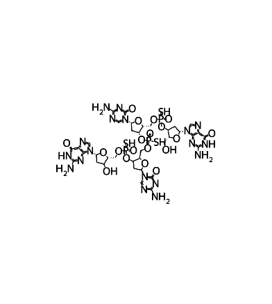 Nc1ncn([C@H]2CC(OP(=O)(S)OC[C@H]3O[C@@H](n4cnc5c(=O)[nH]c(N)nc54)CC3O)[C@@H](COP(=O)(S)O[C@@H]3C[C@H](n4cnc(N)nc4=O)O[C@@H]3COP(=O)(S)OC3C[C@H](n4cnc5c(=O)[nH]c(N)nc54)O[C@@H]3CO)O2)c(=O)n1